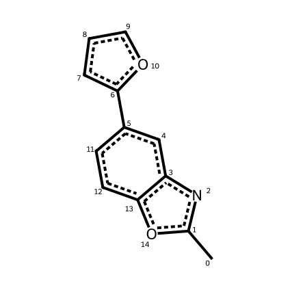 Cc1nc2cc(-c3ccco3)ccc2o1